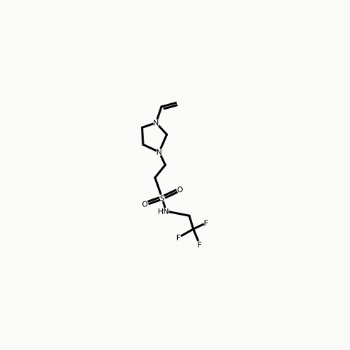 C=CN1CCN(CCS(=O)(=O)NCC(F)(F)F)C1